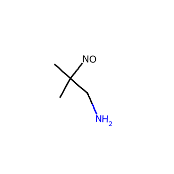 CC(C)(CN)N=O